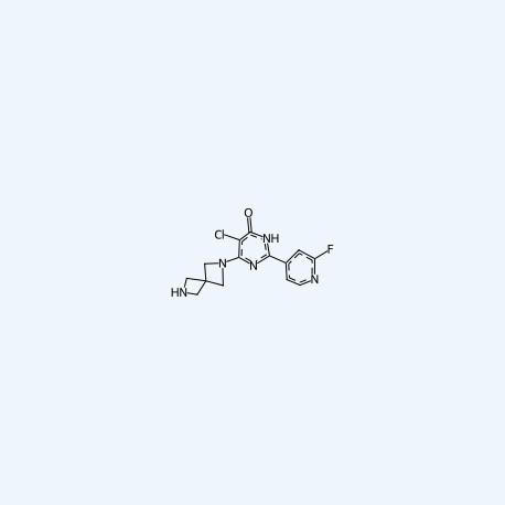 O=c1[nH]c(-c2ccnc(F)c2)nc(N2CC3(CNC3)C2)c1Cl